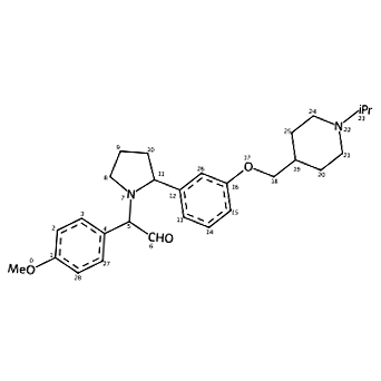 COc1ccc(C(C=O)N2CCCC2c2cccc(OCC3CCN(C(C)C)CC3)c2)cc1